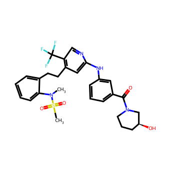 CN(c1ccccc1CCc1cc(Nc2cccc(C(=O)N3CCC[C@H](O)C3)c2)ncc1C(F)(F)F)S(C)(=O)=O